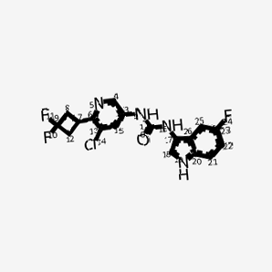 O=C(Nc1cnc(C2CC(F)(F)C2)c(Cl)c1)Nc1c[nH]c2ccc(F)cc12